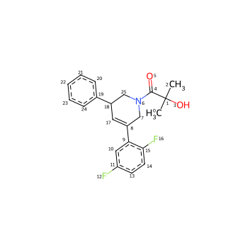 CC(C)(O)C(=O)N1CC(c2cc(F)ccc2F)=CC(c2ccccc2)C1